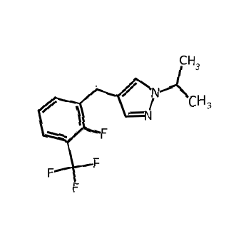 CC(C)n1cc([CH]c2cccc(C(F)(F)F)c2F)cn1